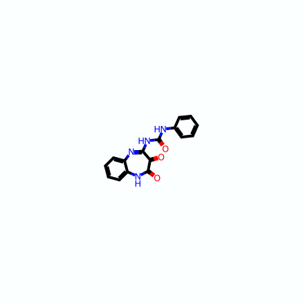 O=C(Nc1ccccc1)Nc1nc2ccccc2[nH]c(=O)c1=O